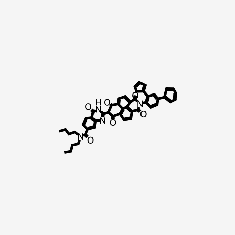 CCCCN(CCCC)C(=O)c1ccc2c(=O)[nH]c(C3C(=O)c4ccc5c6c(ccc(c46)C3=O)C(=O)N(c3ccc(-c4ccccc4)cc3C3=CC=CC3)C5=O)nc2c1